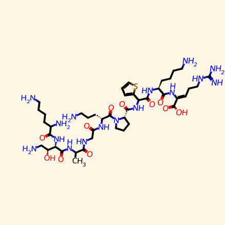 CC(NC(=O)[C@H](NC(=O)C(N)CCCCN)[C@@H](O)CN)C(=O)NCC(=O)N[C@H](CCCN)C(=O)N1CCC[C@H]1C(=O)NC(C(=O)N[C@@H](CCCCN)C(=O)N/C(=C\CCNC(=N)N)C(=O)O)c1cccs1